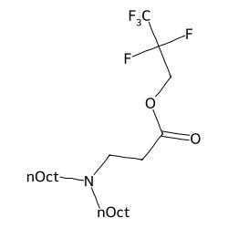 CCCCCCCCN(CCCCCCCC)CCC(=O)OCC(F)(F)C(F)(F)F